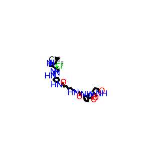 Cn1ncc(-c2nc(N[C@H]3CC[C@H](NC(=O)CCCCCCNCC(=O)Nc4cccc5c4CN(C4CCCC(=O)NC4=O)C5=O)CC3)ncc2Cl)c1CC1CC1